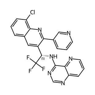 FC(F)(F)[C@@H](Nc1ncnc2cccnc12)c1cc2cccc(Cl)c2nc1-c1cccnc1